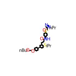 CCCCOCCOc1ccc(-c2ccc(SC(C)C)c(/C=C/C(=O)Nc3ccc([S+]([O-])Cc4cncn4CCC)cc3)c2)cc1